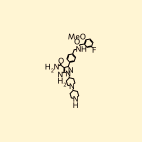 COc1ccc(F)cc1C(=O)NCc1ccc(-c2nn(C3CCN(C4CCNCC4)CC3)c(N)c2C(N)=O)cc1